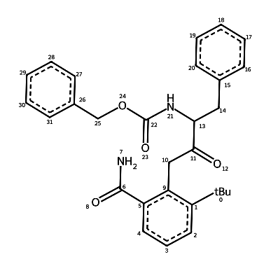 CC(C)(C)c1cccc(C(N)=O)c1CC(=O)C(Cc1ccccc1)NC(=O)OCc1ccccc1